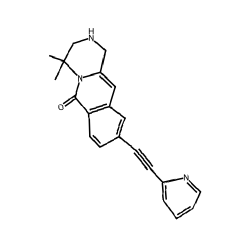 CC1(C)CNCc2cc3cc(C#Cc4ccccn4)ccc3c(=O)n21